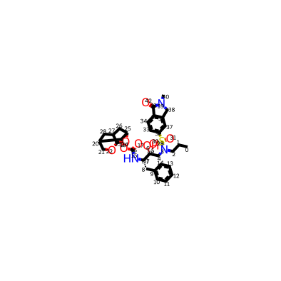 CCCN(C[C@@H](O)[C@H](Cc1ccccc1)NC(=O)OC1C2COC3OC1CC3C2)S(=O)(=O)c1ccc2c(c1)CN(C)C2=O